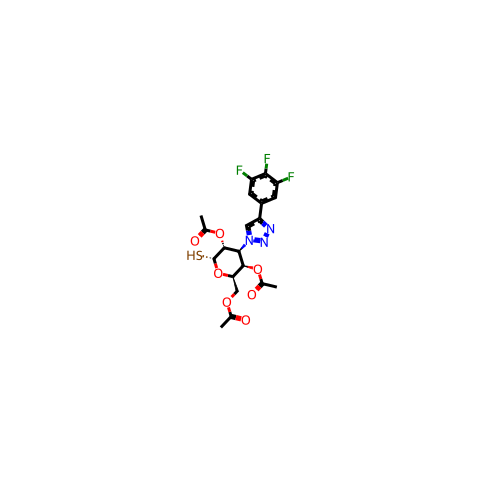 CC(=O)OC[C@H]1O[C@H](S)[C@H](OC(C)=O)[C@@H](n2cc(-c3cc(F)c(F)c(F)c3)nn2)[C@H]1OC(C)=O